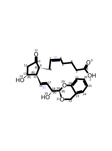 O=C(O)CCC/C=C\C[C@H]1C(=O)C[C@@H](O)[C@@H]1/C=C/[C@@H](O)[C@@H]1OCc2ccccc2O1